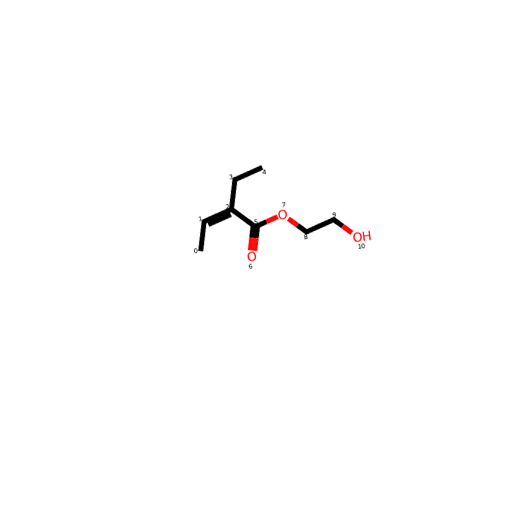 CC=C(CC)C(=O)OCCO